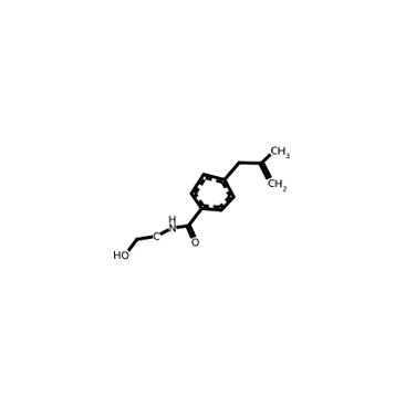 C=C(C)Cc1ccc(C(=O)NCCO)cc1